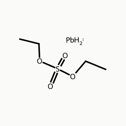 CCOS(=O)(=O)OCC.[PbH2]